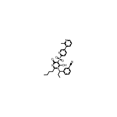 CCCCc1nc(=O)c(S(=O)(=O)c2ccc(-c3cccnc3C)cn2)c(O)n1C(CC)c1cccc(C#N)c1